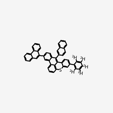 [2H]c1c([2H])c([2H])c(-c2ccc3c(c2)Sc2cccc4c2c-3c(-c2ccc3ccccc3c2)c2ccc(-c3cc5ccccc5c5ccccc35)cc24)c([2H])c1[2H]